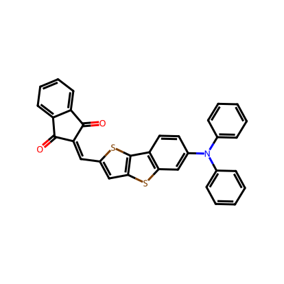 O=C1C(=Cc2cc3sc4cc(N(c5ccccc5)c5ccccc5)ccc4c3s2)C(=O)c2ccccc21